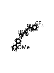 COc1cnccc1C1CCC(N2CC(NC(=O)CNC(=O)c3cccc(C(F)(F)F)c3)C2)CC1